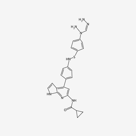 N/N=C\N(N)c1ccc(SNc2ccc(-c3cc(NC(=O)C4CC4)nc4[nH]ccc34)cc2)cc1